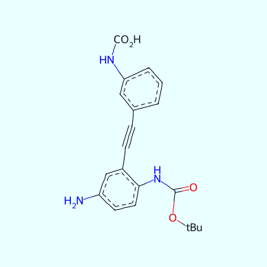 CC(C)(C)OC(=O)Nc1ccc(N)cc1C#Cc1cccc(NC(=O)O)c1